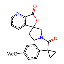 COc1ccc(C2(C(=O)N3CCC4(C3)OC(=O)c3ncccc34)CC2)cc1